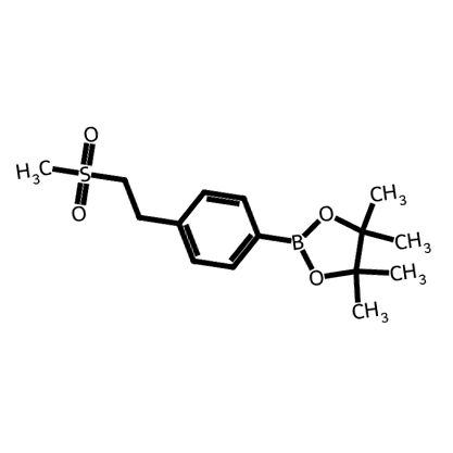 CC1(C)OB(c2ccc(CCS(C)(=O)=O)cc2)OC1(C)C